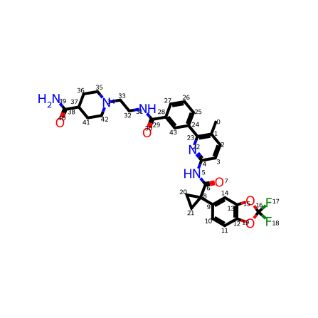 Cc1ccc(NC(=O)C2(c3ccc4c(c3)OC(F)(F)O4)CC2)nc1-c1cccc(C(=O)NCCN2CCC(C(N)=O)CC2)c1